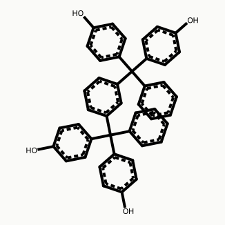 Oc1ccc(C(c2ccccc2)(c2ccc(O)cc2)c2cccc(C(c3ccccc3)(c3ccc(O)cc3)c3ccc(O)cc3)c2)cc1